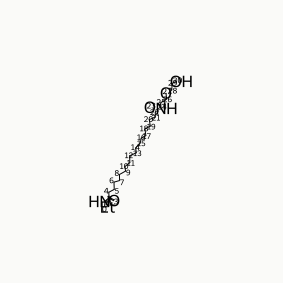 CCNC(=O)CCCCCCCCCCCCCCCCCCC(=O)NCCOCCO